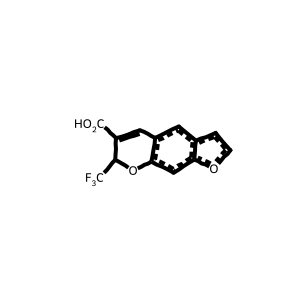 O=C(O)C1=Cc2cc3ccoc3cc2OC1C(F)(F)F